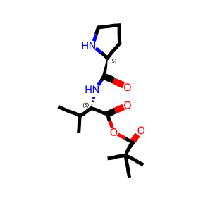 CC(C)[C@H](NC(=O)[C@@H]1CCCN1)C(=O)OC(=O)C(C)(C)C